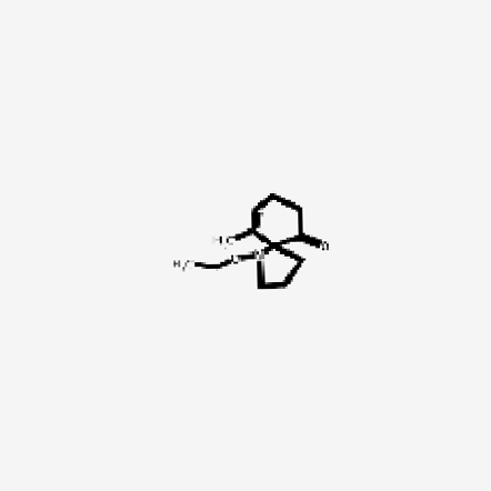 CCCN1CCCC12C(=O)CCC=C2C